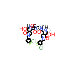 CN(C)C(=O)c1c2c(c(O)c[n+]1[O-])C(=O)N(Cc1ccc(F)c(Cl)c1)CC2.CN(C)C(=O)c1ncc(O)c2c1CCN(Cc1ccc(F)c(Cl)c1)C2=O